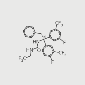 O=C(NCC(F)(F)F)N[C@@](Cc1ccccc1)(c1cc(F)cc(C(F)(F)F)c1)c1ccc(F)c(C(F)(F)F)c1